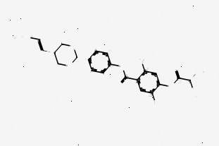 CCCCC/C=C/[C@H]1CO[C@H](c2ccc(OC(=O)c3cc(N)c(OC(=O)[C@H](F)CCCC)cc3[N+](=O)[O-])cc2)OC1